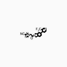 N#Cc1ncn(CC(=O)N2Cc3ccc(-c4ccncc4C(F)(F)F)cc3C2)n1